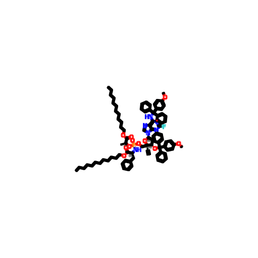 C#C[C@]1(COP(=O)(N[C@@H](Cc2ccccc2)C(=O)OCCCCCCCCCCCC)O[C@@H](C)C(=O)OCCCCCCCCCCCC)O[C@@H](n2cnc3c(NC(c4ccccc4)(c4ccccc4)c4ccc(OC)cc4)nc(F)nc32)C[C@@H]1OC(c1ccccc1)(c1ccccc1)c1ccc(OC)cc1